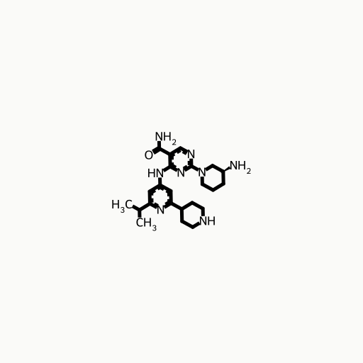 CC(C)c1cc(Nc2nc(N3CCC[C@H](N)C3)ncc2C(N)=O)cc(C2CCNCC2)n1